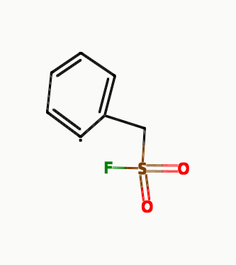 O=S(=O)(F)Cc1[c]cccc1